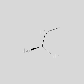 CCCC[C@H](CCC)NCC